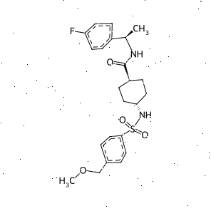 COCc1ccc(S(=O)(=O)N[C@H]2CC[C@H](C(=O)N[C@H](C)c3ccc(F)cc3)CC2)cc1